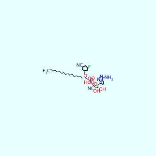 N#Cc1cc(F)cc(CO[C@@H](CCCCCCCCCCCCCCCCC(F)(F)F)COP(=O)(O)OC[C@@]2(C#N)O[C@@H](c3ccc4c(N)ncnn34)[C@H](O)[C@@H]2O)c1